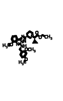 CCOC(=O)[C@@H](C1CC1)N1CCC[C@@H](c2nc3c4cccc(OC)c4nc(NCc4ccc(OC)cc4OC)n3n2)C1